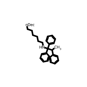 CCCCCCCCCCCCCCCCNC(c1ccccc1)(c1ccccc1)C(C)c1ccccc1